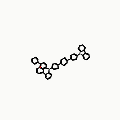 c1ccc(-c2ccc(N(c3ccc(-c4ccc(-c5ccc(-n6c7ccccc7c7ccccc76)cc5)cc4)cc3)c3ccccc3-c3ccccc3)cc2)cc1